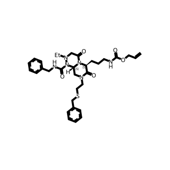 C=CCOC(=O)NCCC[C@H]1C(=O)N(CCSCc2ccccc2)C[C@H]2N1C(=O)CN(CC)N2C(=O)NCc1ccccc1